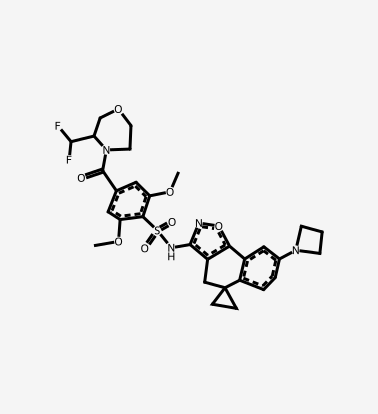 COc1cc(C(=O)N2CCOCC2C(F)F)cc(OC)c1S(=O)(=O)Nc1noc2c1CC1(CC1)c1ccc(N3CCC3)cc1-2